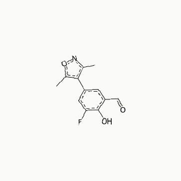 Cc1noc(C)c1-c1cc(F)c(O)c(C=O)c1